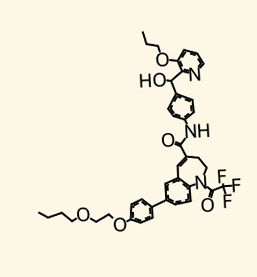 CCCCOCCOc1ccc(-c2ccc3c(c2)C=C(C(=O)Nc2ccc(C(O)c4ncccc4OCCC)cc2)CCN3C(=O)C(F)(F)F)cc1